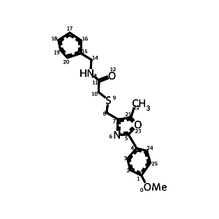 COc1ccc(-c2nc(CSCC(=O)NCc3ccccc3)c(C)o2)cc1